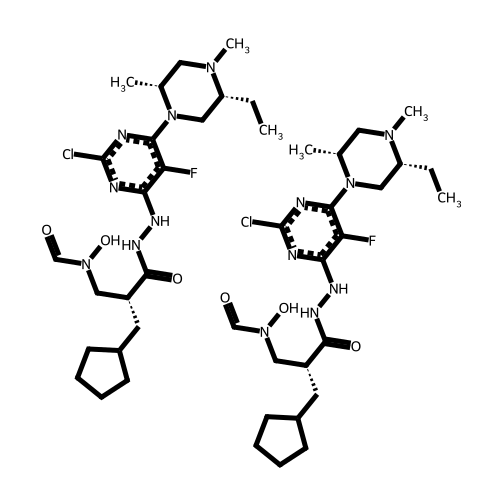 CC[C@@H]1CN(c2nc(Cl)nc(NNC(=O)[C@H](CC3CCCC3)CN(O)C=O)c2F)[C@H](C)CN1C.CC[C@@H]1CN(c2nc(Cl)nc(NNC(=O)[C@H](CC3CCCC3)CN(O)C=O)c2F)[C@H](C)CN1C